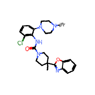 CC(C)N1CCN(c2cccc(Cl)c2NC(=O)N2CCC(C)(c3nc4ccccc4o3)CC2)CC1